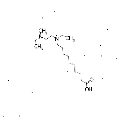 CCN(C)CCN(CC)CCCCCCCCCC(=O)O